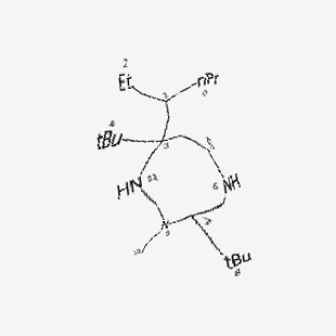 CCCC(CC)C1(C(C)(C)C)CNC(C(C)(C)C)N(C)N1